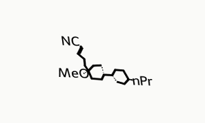 CCC[C@H]1CC[C@H]([C@H]2CC[C@@](CCC=CC#N)(OC)CC2)CC1